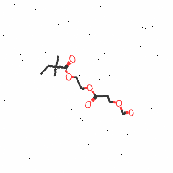 CCC(C)(C)C(=O)OCCOC(=O)CCOC=O